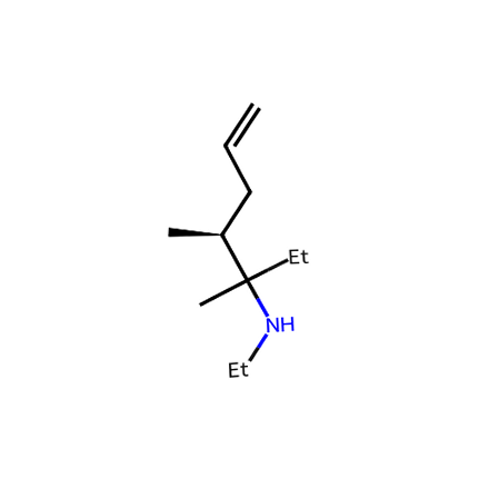 C=CC[C@H](C)C(C)(CC)NCC